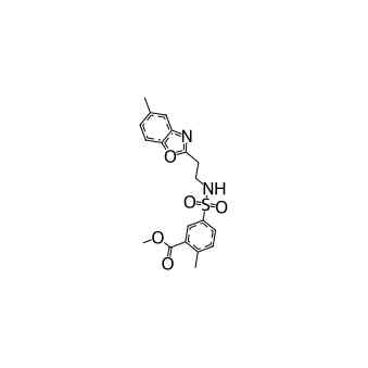 COC(=O)c1cc(S(=O)(=O)NCCc2nc3cc(C)ccc3o2)ccc1C